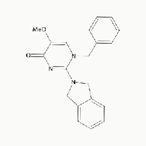 COc1cn(Cc2ccccc2)c(N2Cc3ccccc3C2)nc1=O